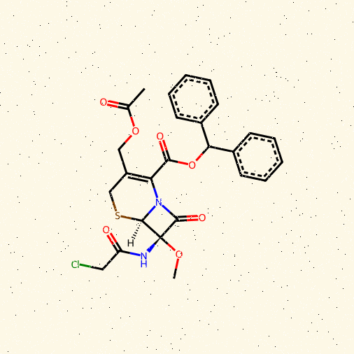 CO[C@@]1(NC(=O)CCl)C(=O)N2C(C(=O)OC(c3ccccc3)c3ccccc3)=C(COC(C)=O)CS[C@@H]21